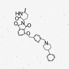 C=C1CCC(N2C(=O)c3cccc(OCc4ccc(CN5CCC(c6ccccc6)CC5)cc4)c3C2=O)C(=O)N1